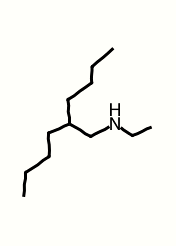 CCCCC(CCCC)CNCC